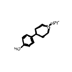 C[CH]CN1CCC(c2ccc(O)cc2)CC1